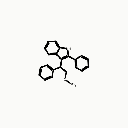 O=[N+]([O-])OCC(c1ccccc1)c1c(-c2ccccc2)[nH]c2ccccc12